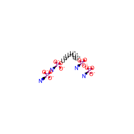 N#CP(=O)([O-])[O-].N#CP(=O)([O-])[O-].N#CP(=O)([O-])[O-].N#CP(=O)([O-])[O-].[Li+].[Li+].[Li+].[Li+].[Li+].[Li+].[Li+].[Li+]